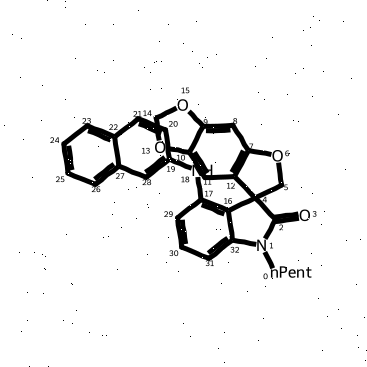 CCCCCN1C(=O)C2(COc3cc4c(cc32)OCO4)c2c(Nc3ccc4ccccc4c3)cccc21